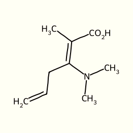 C=CCC(=C(C)C(=O)O)N(C)C